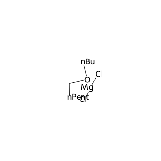 [CH2]CCCCCOCCCC.[Cl][Mg][Cl]